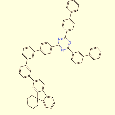 c1ccc(-c2ccc(-c3nc(-c4ccc(-c5cccc(-c6cccc(-c7ccc8c(c7)C7(CCCCC7)c7ccccc7-8)c6)c5)cc4)nc(-c4cccc(-c5ccccc5)c4)n3)cc2)cc1